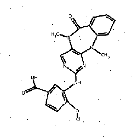 COc1ccc(C(=O)O)cc1Nc1ncc2c(n1)N(C)c1ccccc1C(=O)N2C